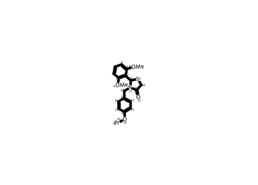 COc1cccc(OC)c1C1SCC(=O)N1Cc1ccc(OC(C)C)cc1